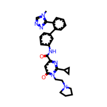 Cn1cnnc1-c1ccccc1-c1cccc(NC(=O)c2cc(=O)n(CCN3CCCC3)c(C3CC3)n2)c1